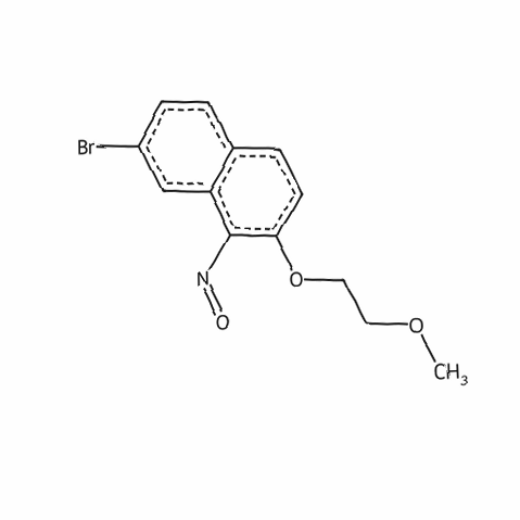 COCCOc1ccc2ccc(Br)cc2c1N=O